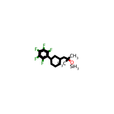 CC(C)(CC1CCCC(c2c(F)c(F)c(F)c(F)c2F)C1)O[SiH3]